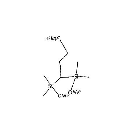 CCCCCCCCCC([Si](C)(C)OC)[Si](C)(C)OC